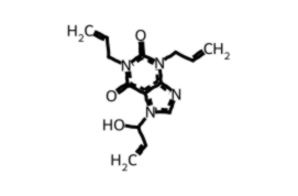 C=CCn1c(=O)c2c(ncn2C(O)C=C)n(CC=C)c1=O